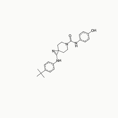 CC(C)(C)c1ccc(NC2=NC23CCN(C(=O)Nc2ccc(O)cc2)CC3)cc1